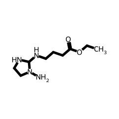 CCOC(=O)CCCNC1NCCN1N